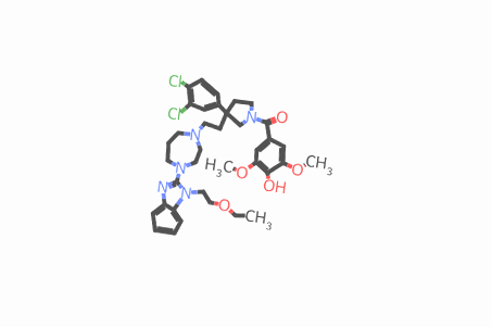 CCOCCn1c(N2CCCN(CCC3(c4ccc(Cl)c(Cl)c4)CCN(C(=O)c4cc(OC)c(O)c(OC)c4)C3)CC2)nc2ccccc21